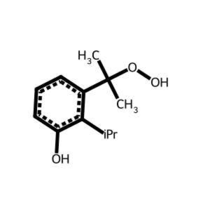 CC(C)c1c(O)cccc1C(C)(C)OO